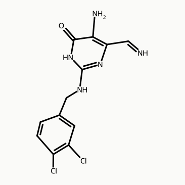 N=Cc1nc(NCc2ccc(Cl)c(Cl)c2)[nH]c(=O)c1N